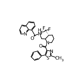 Cc1nc(C(=O)N2CCC[C@@H](C(F)(F)F)C2CNC(=O)c2cccc3cccnc23)c(-c2ccccc2)s1